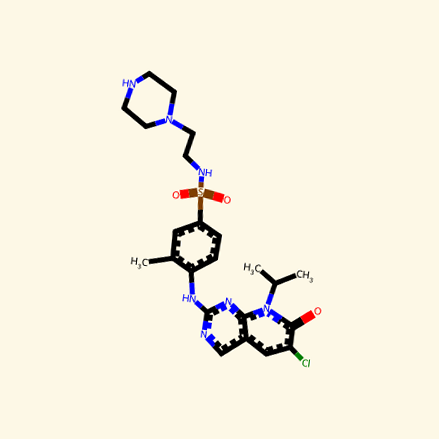 Cc1cc(S(=O)(=O)NCCN2CCNCC2)ccc1Nc1ncc2cc(Cl)c(=O)n(C(C)C)c2n1